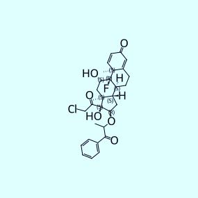 CC(O[C@@H]1C[C@H]2[C@@H]3CCC4=CC(=O)C=C[C@]4(C)[C@@]3(F)[C@@H](O)C[C@]2(C)[C@@]1(O)C(=O)CCl)C(=O)c1ccccc1